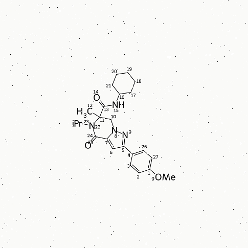 COc1ccc(-c2cc3n(n2)CC(C)(C(=O)NC2CCCCC2)N(C(C)C)C3=O)cc1